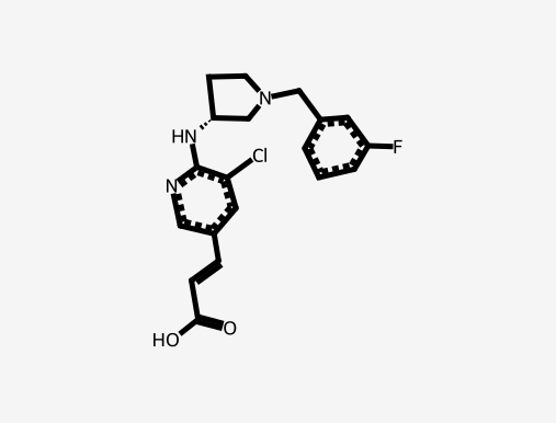 O=C(O)C=Cc1cnc(N[C@@H]2CCN(Cc3cccc(F)c3)C2)c(Cl)c1